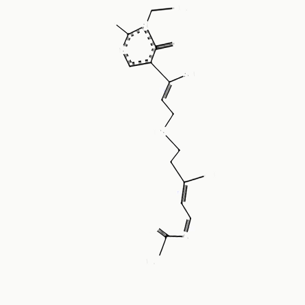 C=C(C)/N=C\C=C(/C)CCNC/C=C(\N)c1cnc(S)n(CC)c1=O